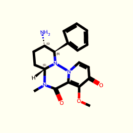 COc1c2n(ccc1=O)N1[C@H](c3ccccc3)[C@@H](N)CC[C@H]1N(C)C2=O